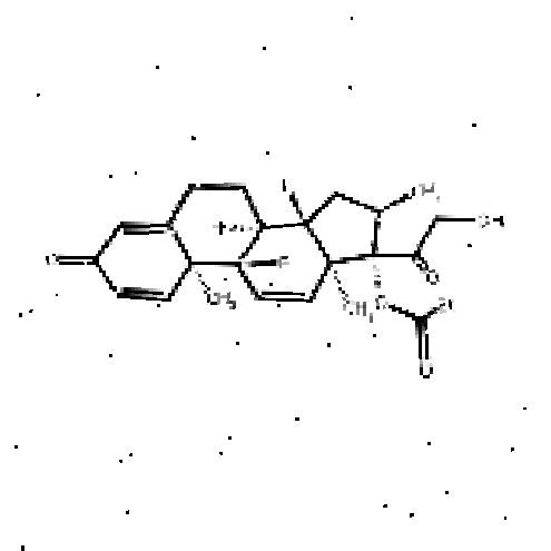 CCC(=O)O[C@@]1(C(=O)CO)[C@H](C)C[C@H]2[C@@H]3CCC4=CC(=O)C=C[C@]4(C)[C@@]3(F)C=C[C@@]21C